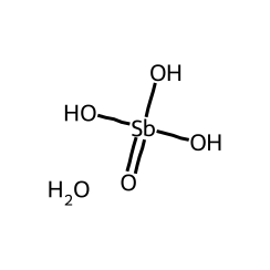 O.[O]=[Sb]([OH])([OH])[OH]